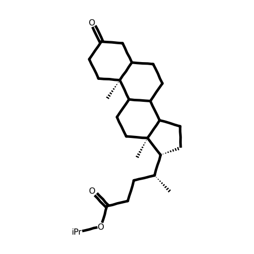 CC(C)OC(=O)CC[C@@H](C)[C@H]1CCC2C3CCC4CC(=O)CC[C@]4(C)C3CC[C@@]21C